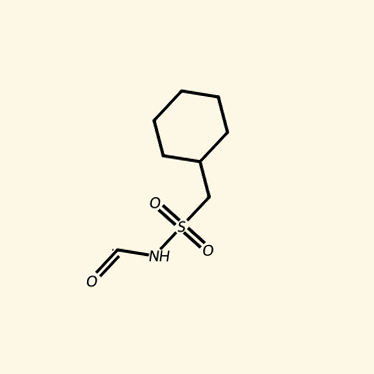 O=[C]NS(=O)(=O)CC1CCCCC1